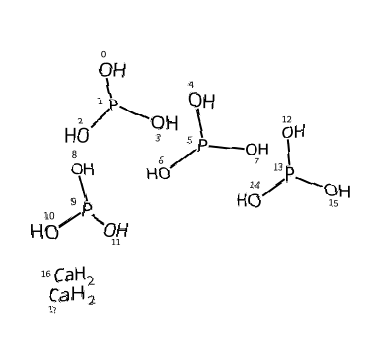 OP(O)O.OP(O)O.OP(O)O.OP(O)O.[CaH2].[CaH2]